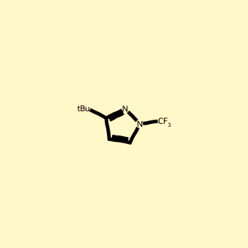 CC(C)(C)c1ccn(C(F)(F)F)n1